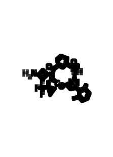 Cc1cccc(C)c1-c1cc2nc(n1)NS(=O)(=O)c1cccc(c1)C(=O)N([C@H]1C[C@H](N)C1)[C@H](CC1(C(F)(F)F)CC1)CO2